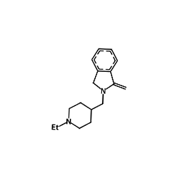 C=C1c2ccccc2CN1CC1CCN(CC)CC1